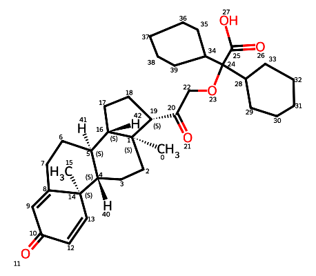 C[C@]12CC[C@H]3[C@@H](CCC4=CC(=O)C=C[C@@]43C)[C@@H]1CC[C@@H]2C(=O)COC(C(=O)O)(C1CCCCC1)C1CCCCC1